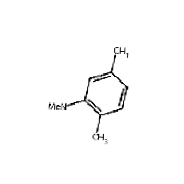 CNc1cc(C)ccc1C